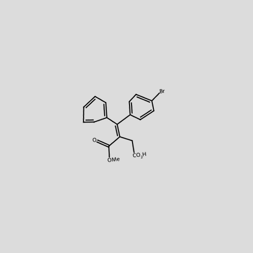 COC(=O)C(CC(=O)O)=C(c1ccccc1)c1ccc(Br)cc1